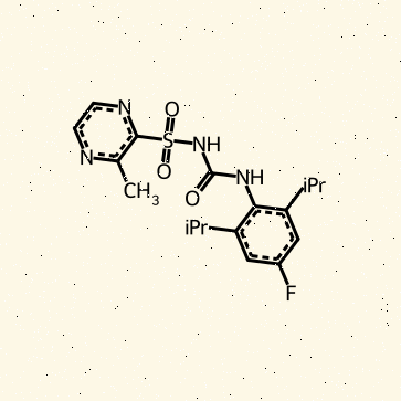 Cc1nccnc1S(=O)(=O)NC(=O)Nc1c(C(C)C)cc(F)cc1C(C)C